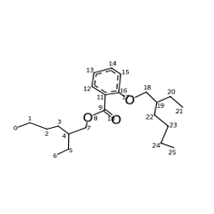 CCCCC(CC)COC(=O)c1ccccc1OCC(CC)CCCC